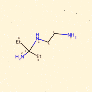 [CH2]CC(N)(CC)NCCN